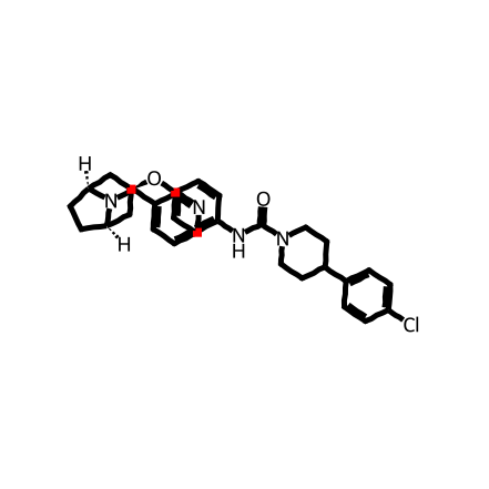 O=C(Nc1ccc(O[C@H]2C[C@H]3CC[C@@H](C2)N3Cc2cccnc2)cc1)N1CCC(c2ccc(Cl)cc2)CC1